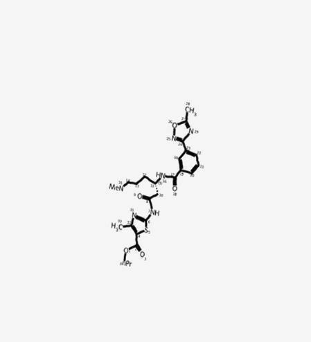 CCCOC(=O)c1sc(NC(=O)C[C@H](CCCNC)NC(=O)c2cccc(-c3noc(C)n3)c2)nc1C